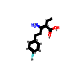 CCC(C(=O)O)=C(N)CCc1ccc(F)cc1